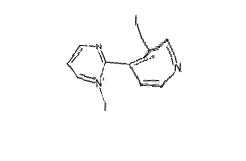 Ic1cnccc1-c1nccc[n+]1I